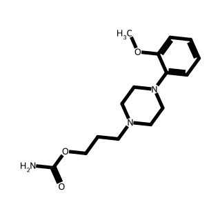 COc1ccccc1N1CCN(CCCOC(N)=O)CC1